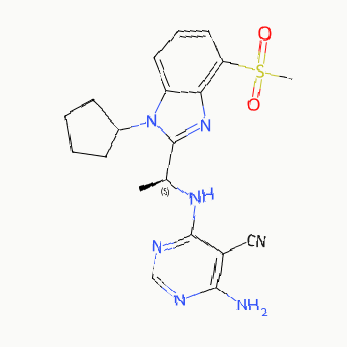 C[C@H](Nc1ncnc(N)c1C#N)c1nc2c(S(C)(=O)=O)cccc2n1C1CCCC1